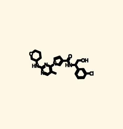 Cc1cnc(NC2CCCOC2)nc1-n1ccc(C(=O)NC(CO)c2cccc(Cl)c2)c1